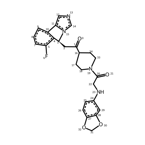 O=C(C[C@H]1c2c(F)cccc2-c2cncn21)C1CCN(C(=O)CNc2ccc3c(c2)OCO3)CC1